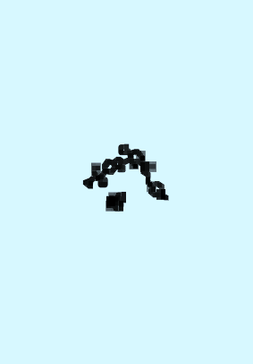 CN1CCN(CCCNc2ncc(Cl)c(-c3cc4ccc(C(=O)NC5CC5)cc4s3)n2)CC1.Cl.Cl.Cl